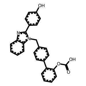 O=C(O)Oc1ccccc1-c1ccc(Cn2c(-c3ccc(O)cc3)nc3ccccc32)cc1